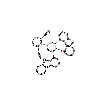 N#Cc1cccc(C#N)c1-c1cc(-c2cccc3c2oc2ccccc23)c(C#N)c(-c2cccc3oc4ccccc4c23)c1